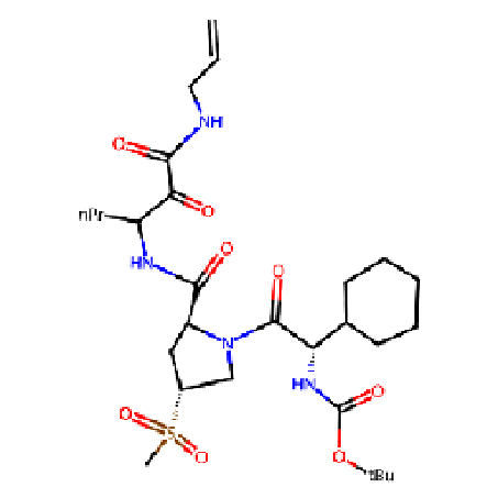 C=CCNC(=O)C(=O)C(CCC)NC(=O)[C@@H]1C[C@@H](S(C)(=O)=O)CN1C(=O)[C@@H](NC(=O)OC(C)(C)C)C1CCCCC1